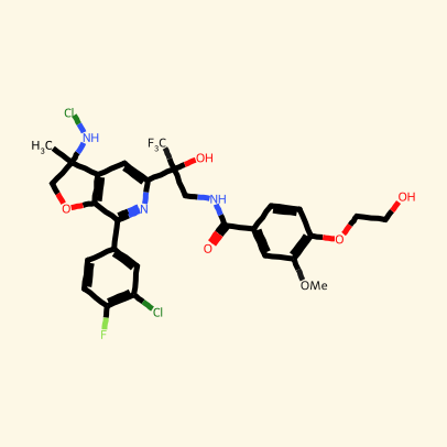 COc1cc(C(=O)NCC(O)(c2cc3c(c(-c4ccc(F)c(Cl)c4)n2)OCC3(C)NCl)C(F)(F)F)ccc1OCCO